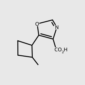 CC1CCC1c1ocnc1C(=O)O